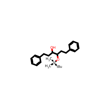 CC(C)(C)[Si](C)(C)OC(CCc1ccccc1)C(O)CCc1ccccc1